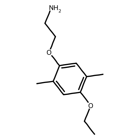 CCOc1cc(C)c(OCCN)cc1C